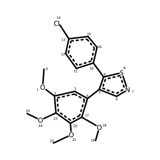 COc1cc(-c2cnsc2-c2ccc(Cl)cc2)c(OC)c(OC)c1OC